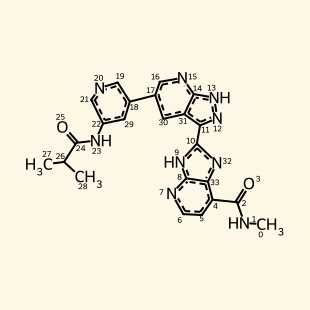 CNC(=O)c1ccnc2[nH]c(-c3n[nH]c4ncc(-c5cncc(NC(=O)C(C)C)c5)cc34)nc12